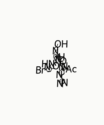 CC(=O)c1nn(CC(=O)N2[C@H](C(=O)Nc3nc(Br)ccc3C)C[C@@]3(CN4CC(O)C4)C[C@@H]23)c2cnc(-c3cnc(C)nc3)cc12